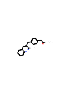 COC(=O)Cc1ccc(Cc2cc3ccccc3nc2OC)cc1